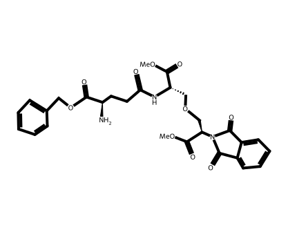 COC(=O)[C@H](COC[C@H](C(=O)OC)N1C(=O)c2ccccc2C1=O)NC(=O)CC[C@@H](N)C(=O)OCc1ccccc1